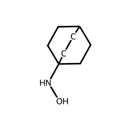 ONC12CCC(CC1)CC2